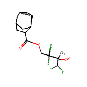 O=C(OCC(F)(F)C(O)(C(F)F)C(F)(F)F)C1CC2C=CC1C2